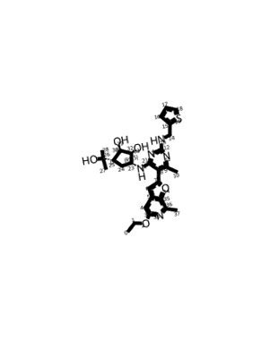 CCOc1cc2cc(-c3c(C)nc(NCc4cccs4)nc3N[C@@H]3C[C@H](C(C)(C)O)[C@@H](O)[C@H]3O)oc2c(C)n1